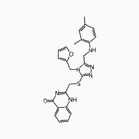 Cc1ccc(NCc2nnc(SCc3nc(=O)c4ccccc4[nH]3)n2Cc2ccco2)c(C)c1